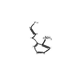 Nc1ccccc1CC=CF